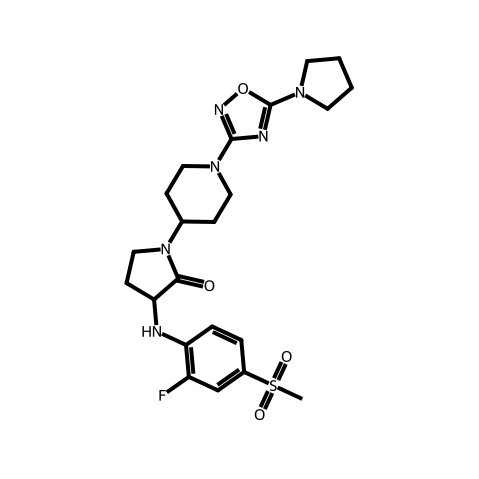 CS(=O)(=O)c1ccc(NC2CCN(C3CCN(c4noc(N5CCCC5)n4)CC3)C2=O)c(F)c1